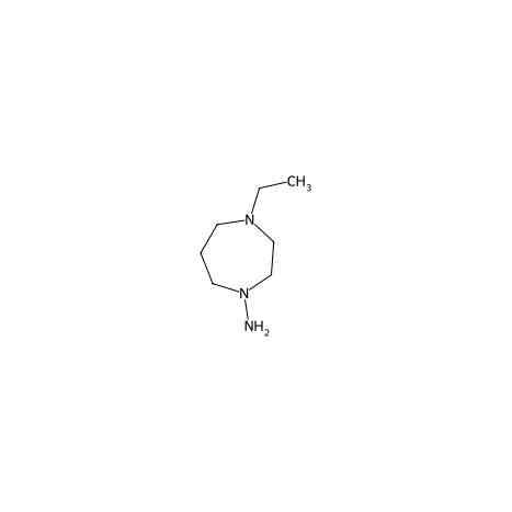 CCN1CCCN(N)CC1